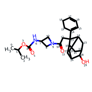 CC(C)OC(=O)NC1CN(C(=O)CC2(C3=CC=CCC3)C3CC4CC2CC(C3)C4O)C1